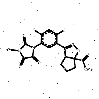 CCCN1C(=O)C(=O)N(c2cc(C3=NOC4(C(=O)OC)CCCC34)c(Cl)cc2F)C1=S